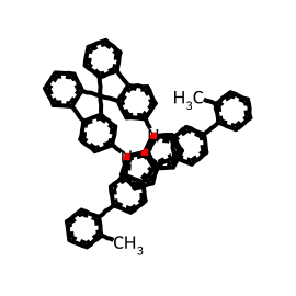 Cc1ccccc1-c1ccc2c3ccccc3n(-c3ccc4c(c3)C3(c5ccccc5-4)c4ccccc4-c4ccc(-n5c6ccccc6c6ccc(-c7ccccc7C)cc65)cc43)c2c1